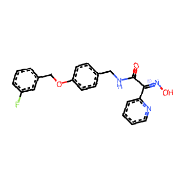 O=C(NCc1ccc(OCc2cccc(F)c2)cc1)/C(=N/O)c1ccccn1